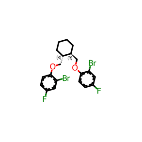 Fc1ccc(OC[C@@H]2CCCC[C@H]2COc2ccc(F)cc2Br)c(Br)c1